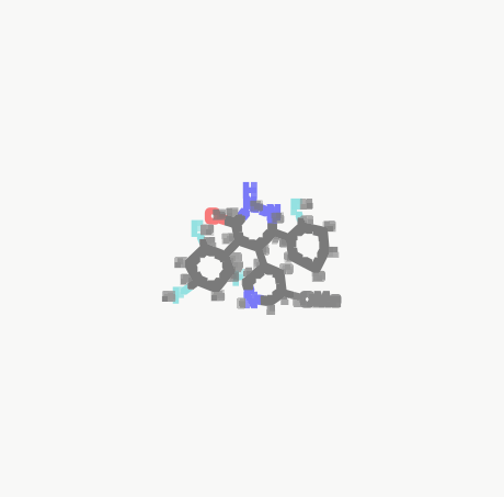 COc1cncc(-c2c(-c3ccccc3F)n[nH]c(=O)c2-c2c(F)cc(F)cc2F)c1